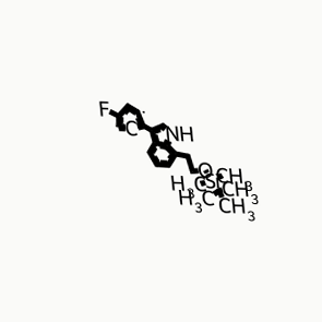 CC(C)(C)[Si](C)(C)OCCc1cccc2c(-c3[c]cc(F)cc3)c[nH]c12